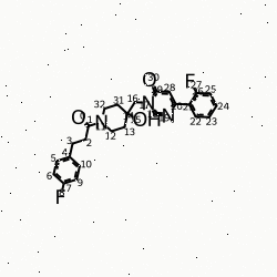 O=C(CCc1ccc(F)cc1)N1CCC(O)(Cn2cnc(-c3ccccc3F)cc2=O)CC1